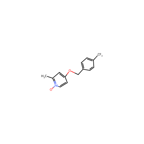 Cc1cc(OCc2ccc(C(F)(F)F)cc2)cc[n+]1[O-]